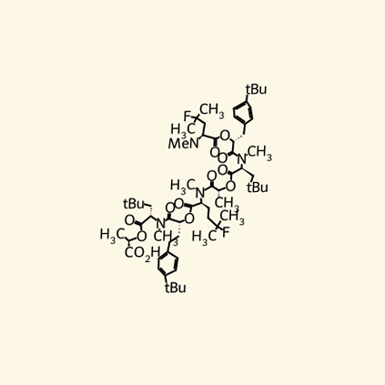 CN[C@@H](CC(C)(C)F)C(=O)O[C@H](Cc1ccc(C(C)(C)C)cc1)C(=O)N(C)[C@@H](CC(C)(C)C)C(=O)O[C@H](C)C(=O)N(C)[C@@H](CCC(C)(C)F)C(=O)O[C@H](CCc1ccc(C(C)(C)C)cc1)C(=O)N(C)[C@@H](CC(C)(C)C)C(=O)O[C@H](C)C(=O)O